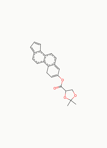 CC1(C)OCC(C(=O)OC2=CCc3c(ccc4c5c(ccc34)=CC=C5)=C2)O1